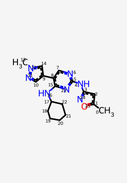 Cc1cc(Nc2ncc(-c3cnn(C)c3)c(NC3CCCCC3)n2)no1